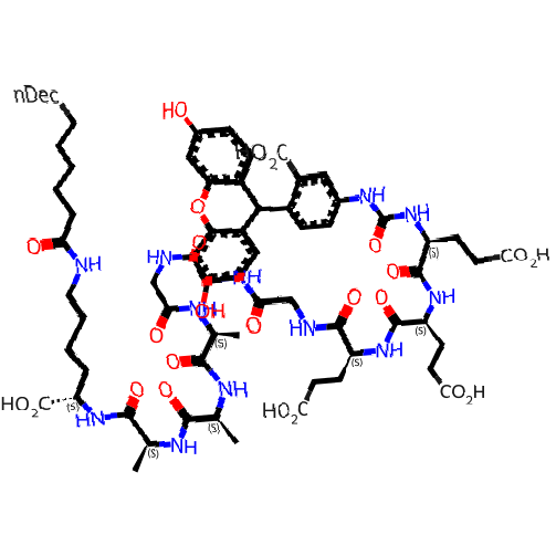 CCCCCCCCCCCCCCCC(=O)NCCCC[C@H](NC(=O)[C@H](C)NC(=O)[C@H](C)NC(=O)[C@H](C)NC(=O)CNC(=O)CNC(=O)CNC(=O)[C@H](CCC(=O)O)NC(=O)[C@H](CCC(=O)O)NC(=O)[C@H](CCC(=O)O)NC(=O)Nc1ccc(C2c3ccc(O)cc3Oc3cc(O)ccc32)c(C(=O)O)c1)C(=O)O